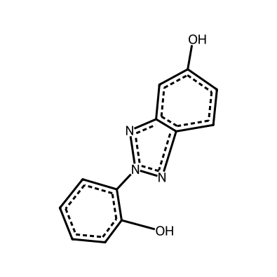 Oc1ccc2nn(-c3ccccc3O)nc2c1